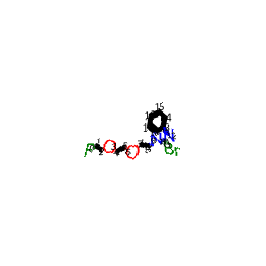 FCCOCCOCCn1c(Br)nc2ccccc21